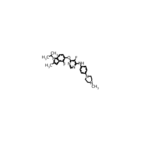 Cc1cc2c(F)c(Oc3ncnc(Nc4ccc(N5CCN(C)CC5)cc4)c3F)ccc2n1C(C)C